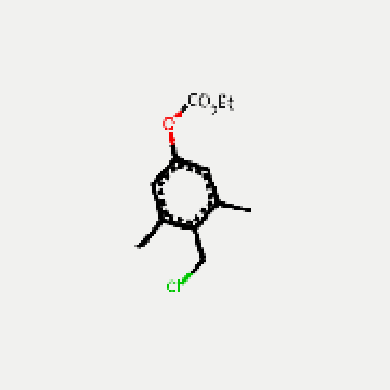 CCOC(=O)Oc1cc(C)c(CCl)c(C)c1